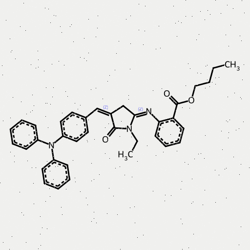 CCCCOC(=O)c1ccccc1/N=C1/C/C(=C/c2ccc(N(c3ccccc3)c3ccccc3)cc2)C(=O)N1CC